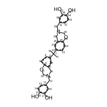 CC(C)(c1ccc2c(c1)CN(Cc1ccc(O)c(O)c1)CO2)c1ccc2c(c1)CN(Cc1ccc(O)c(O)c1)CO2